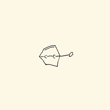 [O]C12C=CC(CC1)CC2